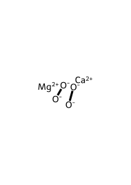 [Ca+2].[Mg+2].[O-][O-].[O-][O-]